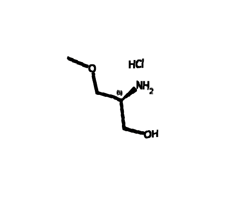 COC[C@@H](N)CO.Cl